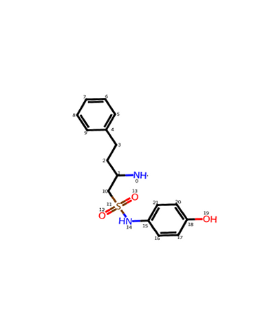 [NH]C(CCc1ccccc1)CS(=O)(=O)Nc1ccc(O)cc1